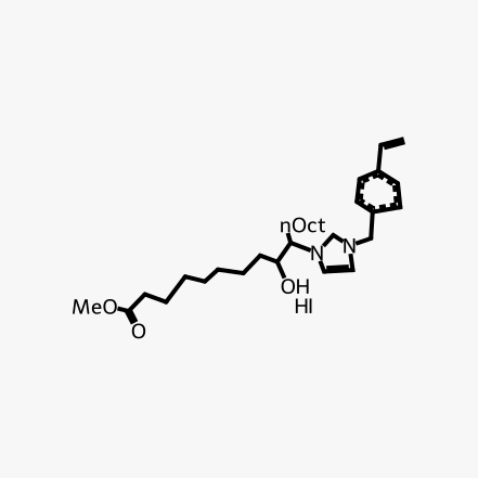 C=Cc1ccc(CN2C=CN(C(CCCCCCCC)C(O)CCCCCCCC(=O)OC)C2)cc1.I